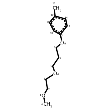 COCCOCCCOc1ccc(C)cc1